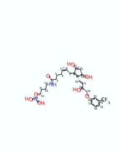 O=C(CCC/C=C\C[C@@H]1[C@@H](/C=C/[C@@H](O)COc2cccc(C(F)(F)F)c2)[C@H](O)C[C@@H]1O)NCCCCON(O)O